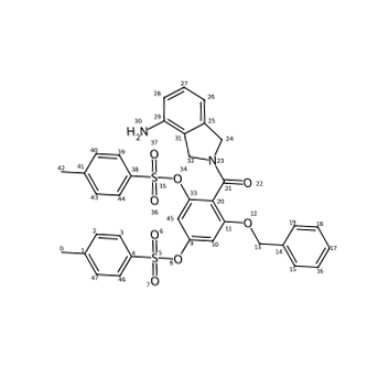 Cc1ccc(S(=O)(=O)Oc2cc(OCc3ccccc3)c(C(=O)N3Cc4cccc(N)c4C3)c(OS(=O)(=O)c3ccc(C)cc3)c2)cc1